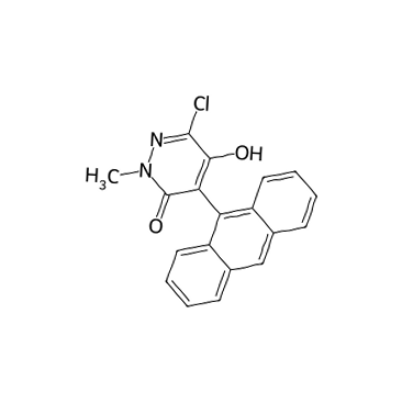 Cn1nc(Cl)c(O)c(-c2c3ccccc3cc3ccccc23)c1=O